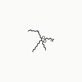 CCCCC/C=C\CCCC(OC(=O)CCCN(C)C)C(CCCCCC)CCCCCCCC